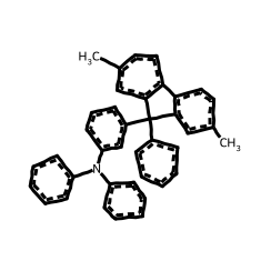 Cc1ccc2c(c1)C(c1ccccc1)(c1cccc(N(c3ccccc3)c3ccccc3)c1)c1cc(C)ccc1-2